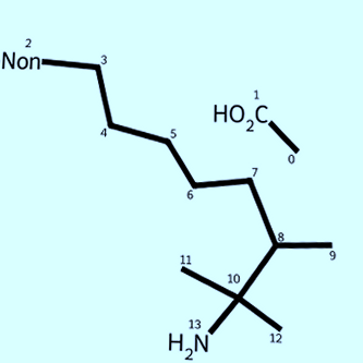 CC(=O)O.CCCCCCCCCCCCCCC(C)C(C)(C)N